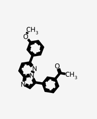 COc1cccc(-c2ccc3ncc(-c4cccc(C(C)=O)c4)n3n2)c1